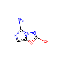 Nc1ncc2oc(O)nn12